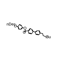 CCCCCCCCCCOc1ccc(OC(=O)c2ccc(-c3ccc(CCC(C)CC)cc3)cc2)cc1